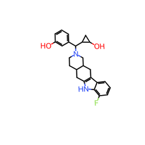 Oc1cccc(C(C2CC2O)N2CCC3Cc4[nH]c5c(F)cccc5c4CC3C2)c1